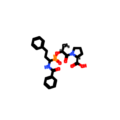 C[C@H](O[PH](=O)C(CCc1ccccc1)NC(=O)c1ccccc1)C(=O)N1CCC[C@H]1C(=O)O